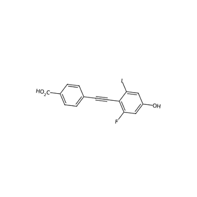 O=C(O)c1ccc(C#Cc2c(F)cc(O)cc2I)cc1